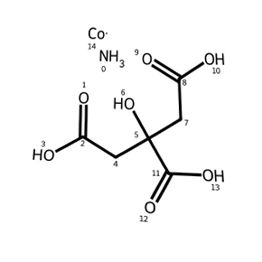 N.O=C(O)CC(O)(CC(=O)O)C(=O)O.[Co]